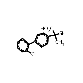 CC(S)(C(=O)O)c1ccc(-c2ccccc2Cl)cc1